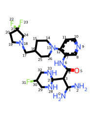 NC(N)C(C(=O)Nc1cnccc1N1CCC(CN2CCC(F)(F)C2)CC1)C1NCC(F)CN1